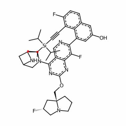 CC(C)[Si](C#Cc1c(F)ccc2cc(O)cc(-c3ncc4c(N5CC6CC(C5)N6)nc(OC[C@@]56CCCN5C[C@H](F)C6)nc4c3F)c12)(C(C)C)C(C)C